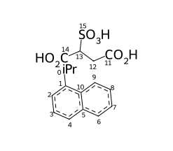 CC(C)c1cccc2ccccc12.O=C(O)CC(C(=O)O)S(=O)(=O)O